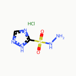 Cl.NNS(=O)(=O)c1ncn[nH]1